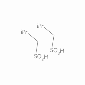 CC(C)CS(=O)(=O)O.CC(C)CS(=O)(=O)O